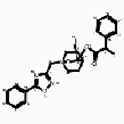 CC(C(=O)O[C@H]1C[N+]2(Cc3noc(-c4ccccc4)n3)CCC1CC2)c1ccccc1